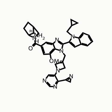 COc1cc(C(=O)N2CC3CCC2[C@@H]3N)cc2nc(-c3cc4ccccc4n3CC3CC3)n(CC3CN(c4cncnc4C4=NC4)C3)c12